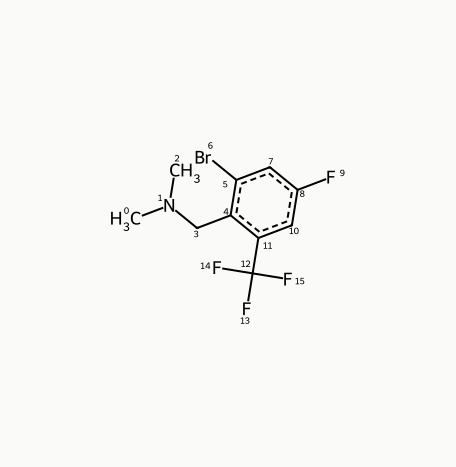 CN(C)Cc1c(Br)cc(F)cc1C(F)(F)F